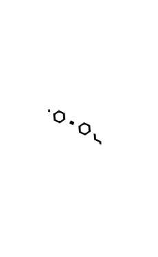 CCCC[C@H]1CC[C@H](C#C[C@H]2CC[C@H](CC)CC2)CC1